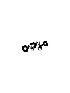 O=C(N=c1ccn(-c2ccccc2)nc1)C1CCCC1